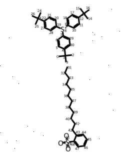 CC(C)(C)c1ccc([S+](c2ccc(C(C)(C)C)cc2)c2ccc(C(C)(C)C)cc2)cc1.CCCCCCCCCCCCc1ccccc1S(=O)(=O)[O-]